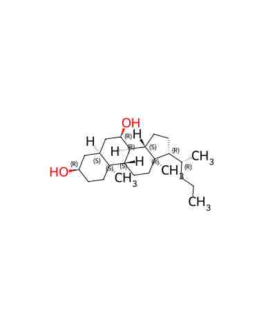 CCC[C@@H](C)[C@H]1CC[C@H]2[C@@H]3[C@H](O)C[C@@H]4C[C@H](O)CC[C@]4(C)[C@H]3CC[C@]12C